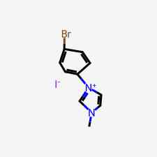 Cn1cc[n+](-c2ccc(Br)cc2)c1.[I-]